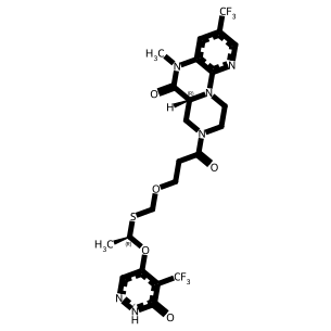 C[C@H](Oc1cn[nH]c(=O)c1C(F)(F)F)SCOCCC(=O)N1CCN2c3ncc(C(F)(F)F)cc3N(C)C(=O)[C@H]2C1